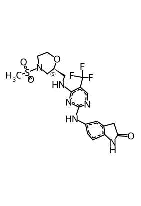 CS(=O)(=O)N1CCO[C@@H](CNc2nc(Nc3ccc4c(c3)CC(=O)N4)ncc2C(F)(F)F)C1